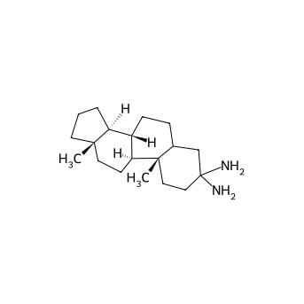 C[C@@]12CCC[C@H]1[C@@H]1CCC3CC(N)(N)CC[C@]3(C)[C@H]1CC2